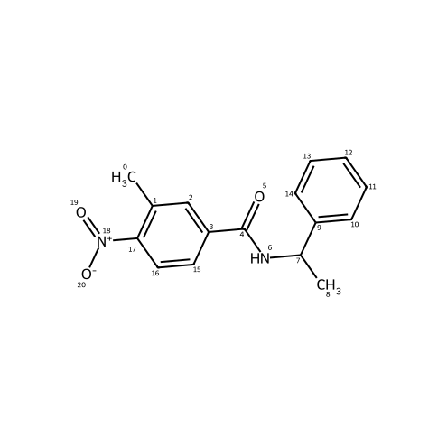 Cc1cc(C(=O)NC(C)c2ccccc2)ccc1[N+](=O)[O-]